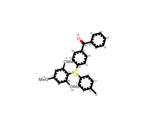 COc1cc(OC)c([SH](c2ccc(C)cc2)c2ccc(C(=O)c3ccccc3)cc2)c(OC)c1